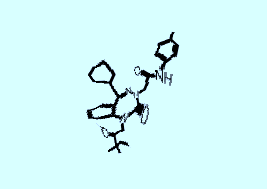 Cc1ccc(NC(=O)CN2N=C(C3CCCCC3)c3ccccc3N(CC(=O)C(C)(C)C)C2=O)cc1